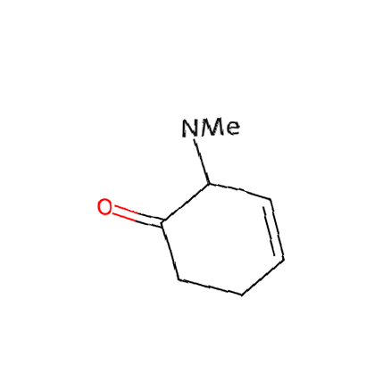 CNC1C=CCCC1=O